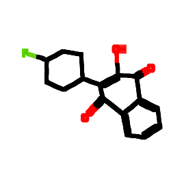 O=C1C(O)=C(C2CCC(F)CC2)C(=O)c2ccccc21